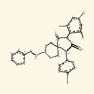 Cc1cc(Cl)cc(C)c1C1C(=O)N(c2ccc(Cl)cc2)C2(CCN(OCc3ccccc3)CC2)C1=O